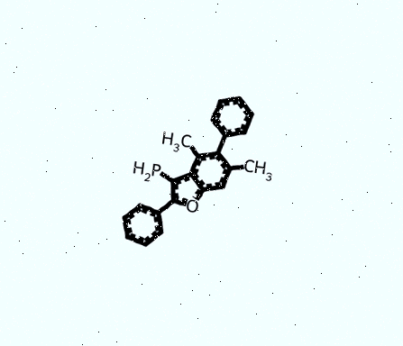 Cc1cc2oc(-c3ccccc3)c(P)c2c(C)c1-c1ccccc1